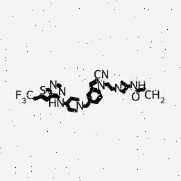 C=CC(=O)NC1CN(CCn2c(C#N)cc3cc(CN4CCC(Nc5ncnc6sc(CC(F)(F)F)cc56)CC4)ccc32)C1